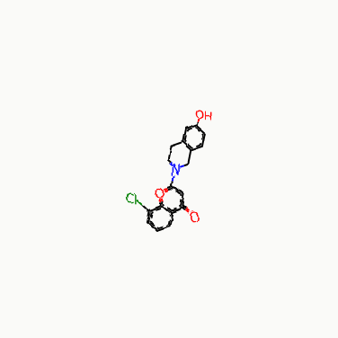 O=c1cc(N2CCc3cc(O)ccc3C2)oc2c(Cl)cccc12